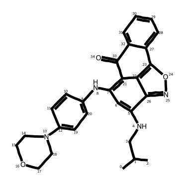 CC(C)CNc1cc(Nc2ccc(N3CCOCC3)cc2)c2c3c(onc13)-c1ccccc1C2=O